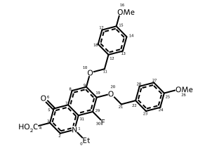 CCn1cc(C(=O)O)c(=O)c2cc(OCc3ccc(OC)cc3)c(OCc3ccc(OC)cc3)c(F)c21